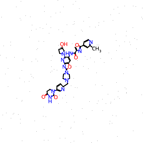 Cc1cc(-c2nc(C(=O)Nc3cc4oc(N5CCN(Cc6ccc(N7CCC(=O)NC7=O)cn6)CC5)nc4nc3N3CC[C@@H](O)C3)co2)ccn1